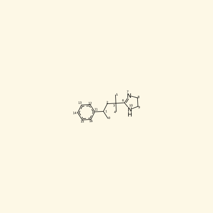 CC(CC(C)(C)C1=NCCN1)c1ccccc1